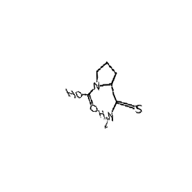 NC(=S)C1CCCN1C(=O)O